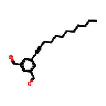 CCCCCCCCCCC#Cc1cc(C=O)[c]c(C=O)c1